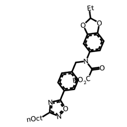 CCCCCCCCc1noc(-c2ccc(CN(C(=O)C(=O)O)c3ccc4c(c3)OC(CC)O4)cc2)n1